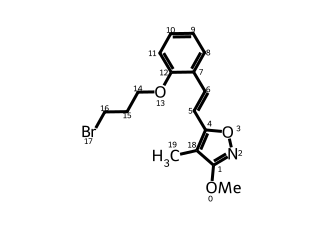 COc1noc(C=Cc2ccccc2OCCCBr)c1C